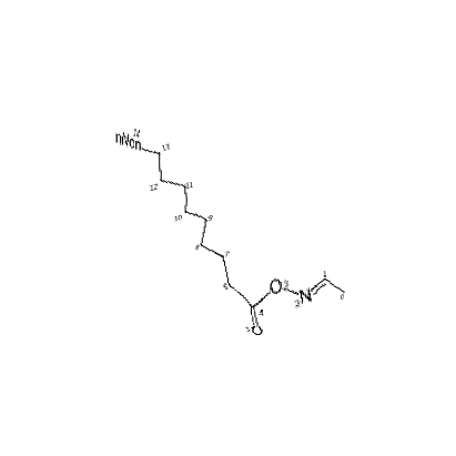 CC=NOC(=O)CCCCCCCCCCCCCCCCC